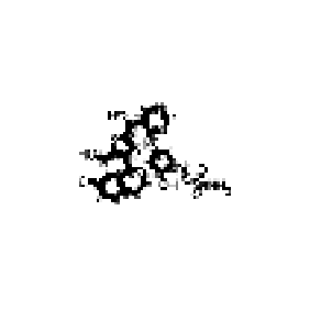 NS(=O)(=O)OC[C@H]1C[C@@H](Nc2ncncc2C(O)c2cc(C3OCCc4ccc(Cl)cc43)c(CO)s2)C[C@@H]1O